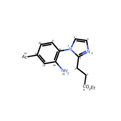 CCOC(=O)CCc1nccn1-c1ccc(C(C)=O)cc1N